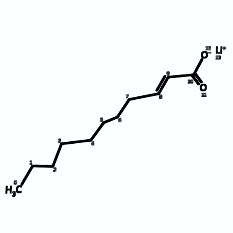 CCCCCCCCC=CC(=O)[O-].[Li+]